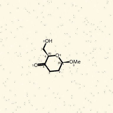 CO[C@H]1CCC(=O)[C@@H](CO)O1